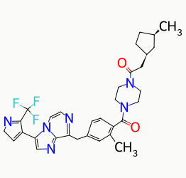 Cc1cc(Cc2nccn3c(C4=CCN=C4C(F)(F)F)cnc23)ccc1C(=O)N1CCN(C(=O)C[C@H]2CC[C@@H](C)C2)CC1